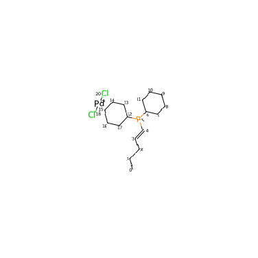 CCCC=CP(C1CCCCC1)C1CCCCC1.[Cl][Pd][Cl]